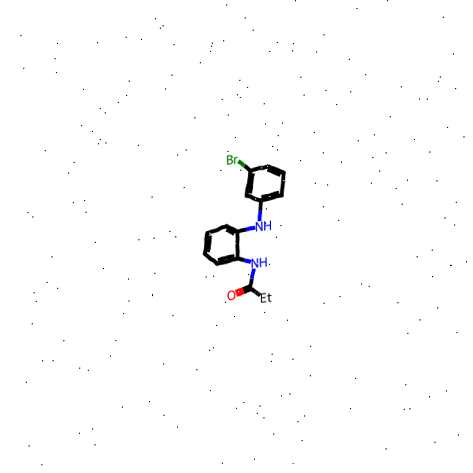 CCC(=O)Nc1ccccc1Nc1cccc(Br)c1